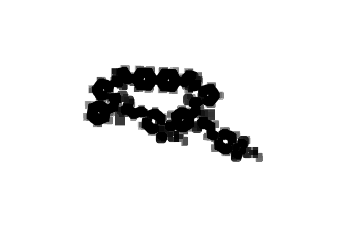 CS(=O)(=O)N1CCN(CCC(=O)N[C@@H](C(=O)N2CCC[C@H]2c2ncc(-c3ccc(-c4ccc(-c5cnc([C@@H]6CCCN6C(=O)[C@H](NC(=O)CCN6CCN(S(C)(=O)=O)CC6)c6ccccc6)s5)cc4)cc3)s2)c2ccccc2)CC1